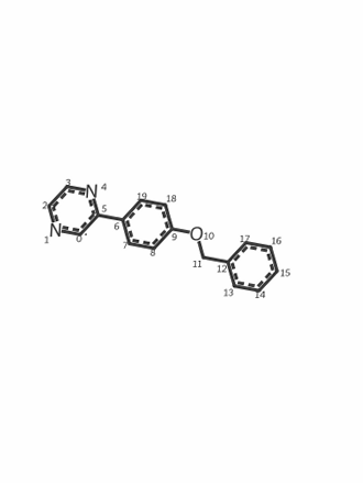 [c]1nccnc1-c1ccc(OCc2ccccc2)cc1